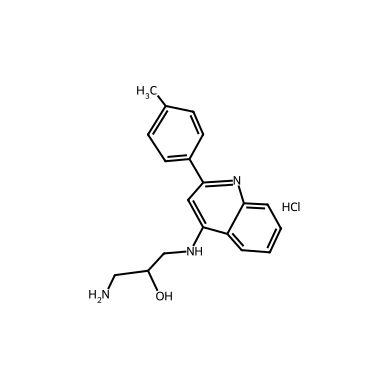 Cc1ccc(-c2cc(NCC(O)CN)c3ccccc3n2)cc1.Cl